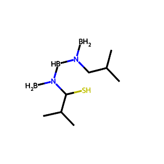 BN(BN(B)C(S)C(C)C)CC(C)C